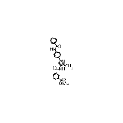 COC(=O)c1cccc(C(=O)Nc2cc(-c3ccc(NC(=O)c4ccccc4)cc3)nn2C)c1